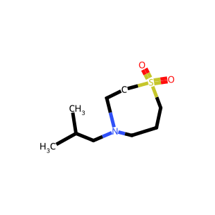 CC(C)CN1CCCS(=O)(=O)CC1